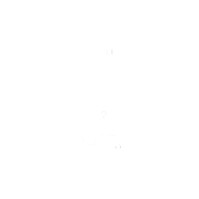 O=Cc1ccccc1OCCCCCCl